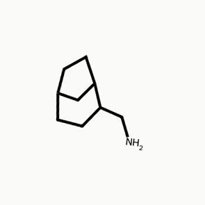 NCC1CCC2CCC1C2